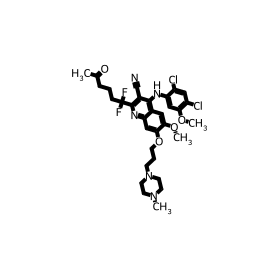 COc1cc(Nc2c(C#N)c(C(F)(F)CCCC(C)=O)nc3cc(OCCCN4CCN(C)CC4)c(OC)cc23)c(Cl)cc1Cl